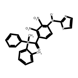 Cc1ccccc1[N+](C)(C(=O)c1ccc([S+]([O-])c2nccs2)c([N+](=O)[O-])c1[N+](=O)[O-])c1ccccc1